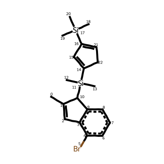 CC1=Cc2c(Br)cccc2C1[Si](C)(C)C1=CC([Si](C)(C)C)=CC1